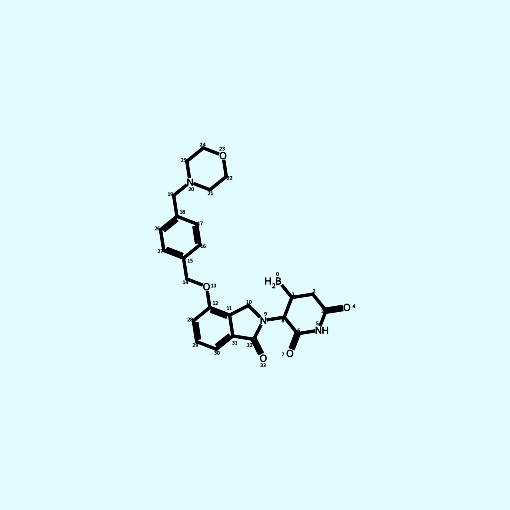 BC1CC(=O)NC(=O)C1N1Cc2c(OCc3ccc(CN4CCOCC4)cc3)cccc2C1=O